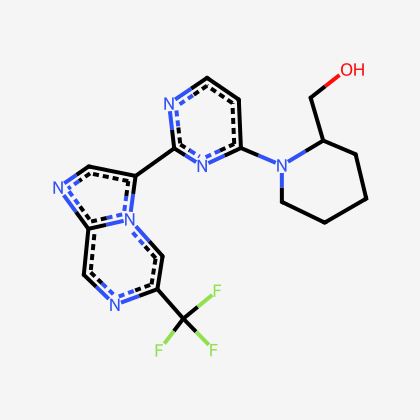 OCC1CCCCN1c1ccnc(-c2cnc3cnc(C(F)(F)F)cn23)n1